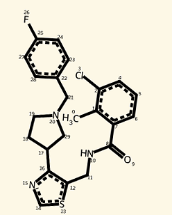 Cc1c(Cl)cccc1C(=O)NCc1scnc1C1CCN(Cc2ccc(F)cc2)C1